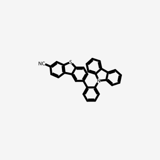 N#Cc1ccc2c(c1)sc1ccc(-c3ccccc3-n3c4ccccc4c4ccccc43)cc12